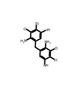 CCCc1cc(Cc2cc(CCC)c(CC)c(Cl)c2N)c(N)c(Cl)c1CC